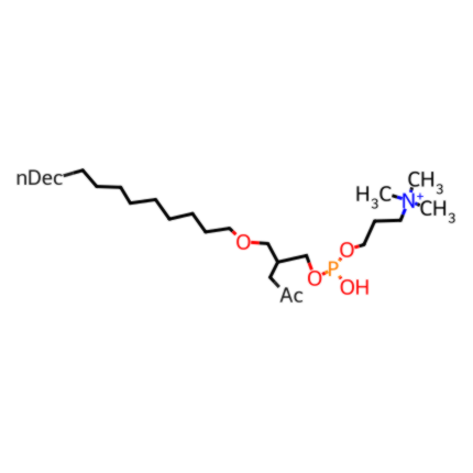 CCCCCCCCCCCCCCCCCCCOCC(COP(O)OCCC[N+](C)(C)C)CC(C)=O